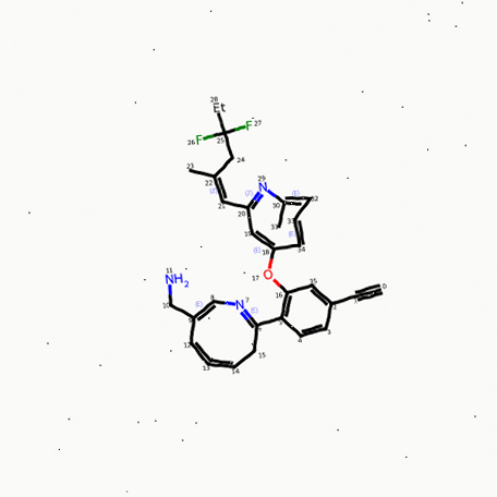 C#Cc1ccc(/C2=N/C=C(/CN)C=C=CC2)c(OC2=C/C(/C=C(/C)CC(F)(F)CC)=N\C(C)=C\C=C\2)c1